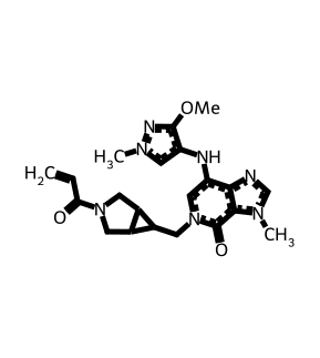 C=CC(=O)N1CC2C(C1)C2Cn1cc(Nc2cn(C)nc2OC)c2ncn(C)c2c1=O